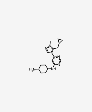 Cn1ncc(-c2cc(NC3CCC(N)CC3)ncn2)c1CC1CC1